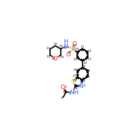 CC(=O)Nc1nc2ccc(-c3cccc(S(=O)(=O)NC4CCCOC4)c3)cc2s1